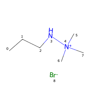 CCCN[N+](C)(C)C.[Br-]